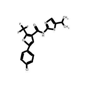 CC(C)c1cnc(NC(=O)c2cc(-c3ccc(Cl)cc3)oc2C(F)(F)F)s1